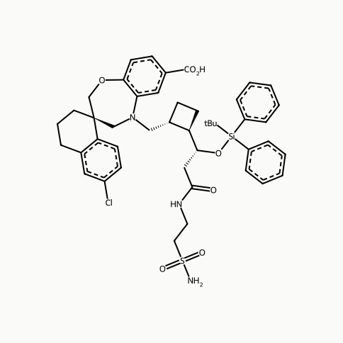 CC(C)(C)[Si](O[C@H](CC(=O)NCCS(N)(=O)=O)[C@@H]1CC[C@H]1CN1C[C@@]2(CCCc3cc(Cl)ccc32)COc2ccc(C(=O)O)cc21)(c1ccccc1)c1ccccc1